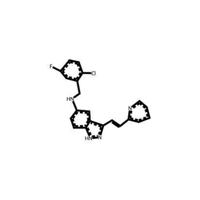 Fc1ccc(Cl)c(CNc2ccc3[nH]nc(C=Cc4ccccn4)c3c2)c1